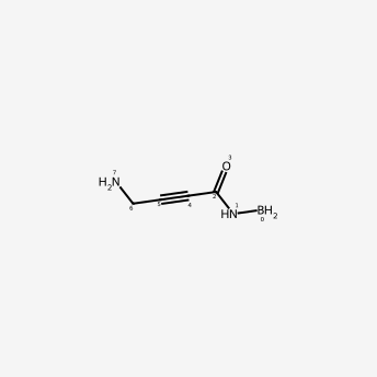 BNC(=O)C#CCN